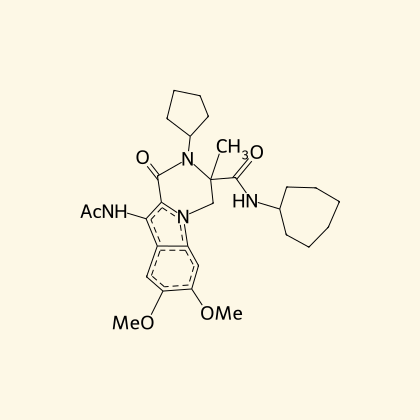 COc1cc2c(NC(C)=O)c3n(c2cc1OC)CC(C)(C(=O)NC1CCCCCC1)N(C1CCCC1)C3=O